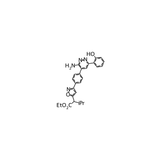 CCOC(=O)C(c1cc(-c2ccc(-c3cc(-c4ccccc4O)nnc3N)cc2)no1)C(C)C